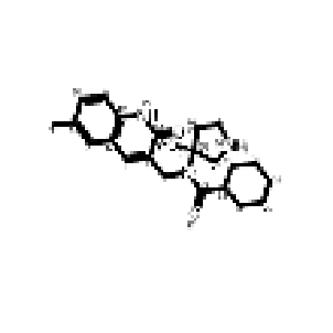 CC(=O)[C@@]1(N(Cc2cc3cc(C)ccc3[nH]c2=O)C(=O)C2CCCCC2)CCNC1